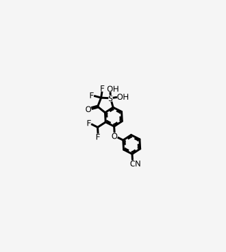 N#Cc1cccc(Oc2ccc3c(c2C(F)F)C(=O)C(F)(F)S3(O)O)c1